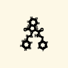 O=C(NCc1ccccc1)C1c2ccccc2C(=O)N1CCc1ccccc1